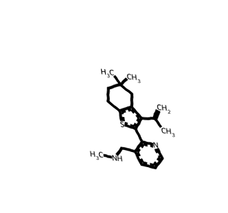 C=C(C)c1c(-c2ncccc2CNC)sc2c1CC(C)(C)CC2